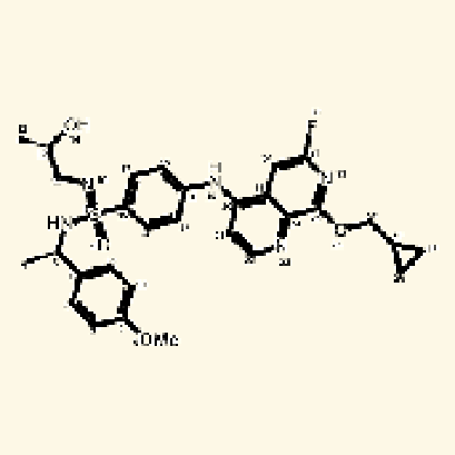 COc1ccc([C@@H](C)NS(=O)(=NC[C@@H](C)O)c2ccc(Nc3ccnc4c(OCC5CC5)nc(F)cc34)cc2)cc1